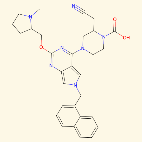 CN1CCCC1COc1nc(N2CCN(C(=O)O)C(CC#N)C2)c2cn(Cc3cccc4ccccc34)cc2n1